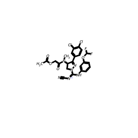 CC(=O)OCC(=O)N(C)C1CN(/C(=N\C#N)Nc2cccc(OC(F)F)c2)N=C1c1ccc(Cl)c(Cl)c1